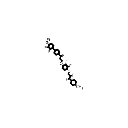 CCOc1ccc(-c2ccc(C(F)CCOc3ccc(OCC(F)C(F)C4CCC(C)CC4)c(F)c3F)cc2)c(F)c1F